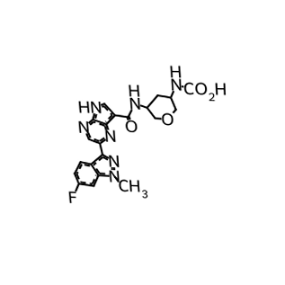 Cn1nc(-c2cnc3[nH]cc(C(=O)NC4COCC(NC(=O)O)C4)c3n2)c2ccc(F)cc21